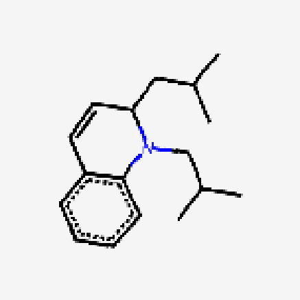 CC(C)CC1C=Cc2ccccc2N1CC(C)C